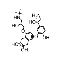 CC(C)(C)NCC(O)COc1cccc2c1C[C@H](O)[C@H](O)C2.NC[C@H](O)c1ccc(O)c(O)c1